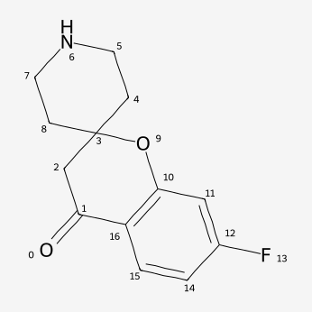 O=C1CC2(CCNCC2)Oc2cc(F)ccc21